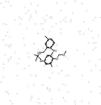 COCOc1c(C)cc(C)cc1Pc1ccc(C)cc1CNC(C)(C)C